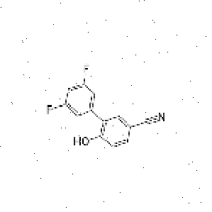 N#Cc1ccc(O)c(-c2cc(F)cc(F)c2)c1